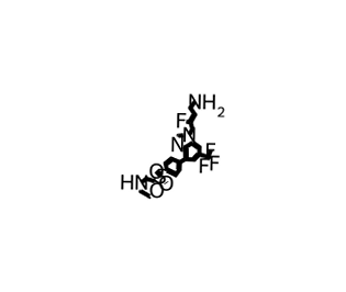 NC/C=C(\F)Cn1cnc2c(-c3ccc(S(=O)(=O)C4CNCCO4)cc3)cc(C(F)(F)F)cc21